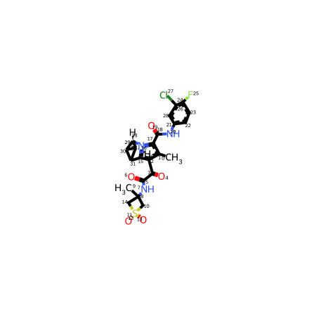 Cc1c(C(=O)C(=O)NC2(C)CS(=O)(=O)C2)c2n(c1C(=O)Nc1ccc(F)c(Cl)c1)[C@@H]1C3C2[C@@H]31